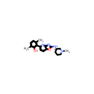 Cc1ccc(C)c(-c2ccc3oc(N[C@@H]4CCCN(C)C4)nc3n2)c1O